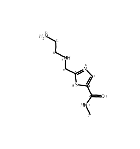 CNC(=O)c1cnc(CNCCN)s1